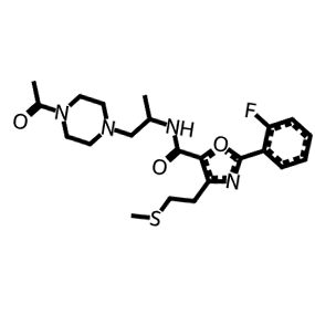 CSCCc1nc(-c2ccccc2F)oc1C(=O)NC(C)CN1CCN(C(C)=O)CC1